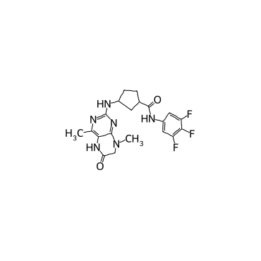 Cc1nc(NC2CCC(C(=O)Nc3cc(F)c(F)c(F)c3)C2)nc2c1NC(=O)CN2C